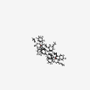 N#Cc1ccc(-c2ccc3c4ccc(-c5ccc(C#N)cc5)cc4n(-c4c(-c5nc(-c6ccccc6)cc(-c6ccccc6)n5)cc(C#N)cc4-c4nc(-c5ccccc5)cc(-c5ccccc5)n4)c3c2)cc1